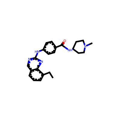 CCc1cccc2cnc(Nc3ccc(C(=O)NC4CCN(C)CC4)cc3)nc12